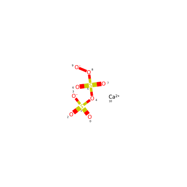 O=S(=O)([O-])OS(=O)(=O)O[O-].[Ca+2]